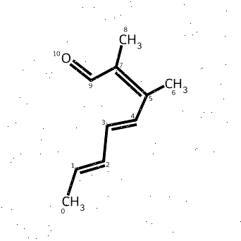 CC=CC=CC(C)=C(C)C=O